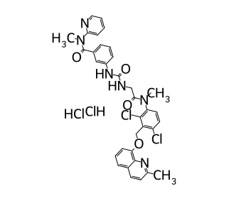 Cc1ccc2cccc(OCc3c(Cl)ccc(N(C)C(=O)CNC(=O)Nc4cccc(C(=O)N(C)c5ccccn5)c4)c3Cl)c2n1.Cl.Cl